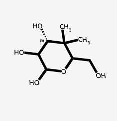 CC1(C)C(CO)OC(O)C(O)[C@@H]1O